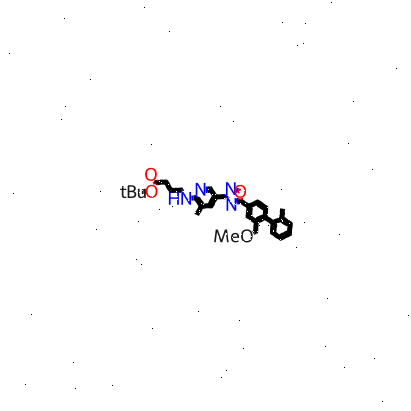 COCc1cc(-c2nc(-c3cnc(NCCCC(=O)OC(C)(C)C)c(C)c3)no2)ccc1-c1ccccc1C